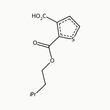 CC(C)CCOC(=O)c1sccc1C(=O)O